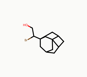 OCC(Br)C12CC3CC4CC(C1)C4(C3)C2